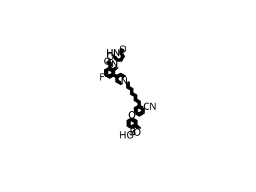 N#Cc1ccc(Oc2ccc3c(c2)COB3O)cc1CCCCCCCN1CCC(c2cc(F)cc3c2CN(C2CCC(=O)NC2=O)C3=O)CC1